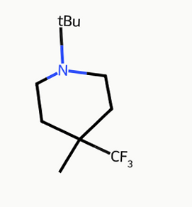 CC(C)(C)N1CCC(C)(C(F)(F)F)CC1